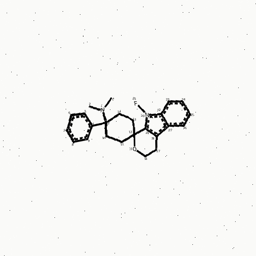 CN(C)C1(c2ccccc2)CCC2(CC1)OCCc1c2n(F)c2ccccc12